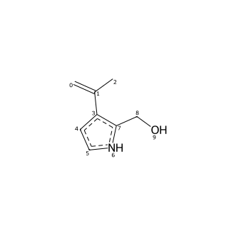 C=C(C)c1cc[nH]c1CO